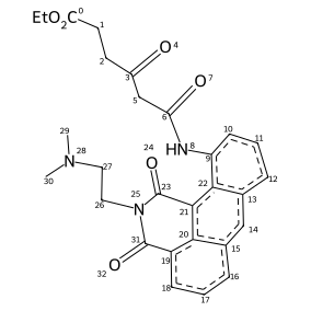 CCOC(=O)CCC(=O)CC(=O)Nc1cccc2cc3cccc4c3c(c12)C(=O)N(CCN(C)C)C4=O